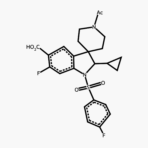 CC(=O)N1CCC2(CC1)c1cc(C(=O)O)c(F)cc1N(S(=O)(=O)c1ccc(F)cc1)C2C1CC1